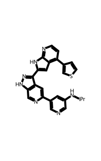 CC(C)Nc1cncc(-c2cc3c(-c4cc5c(-c6ccsc6)ccnc5[nH]4)n[nH]c3cn2)c1